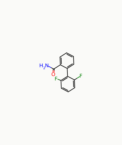 NC(=O)c1ccccc1-c1c(F)cccc1F